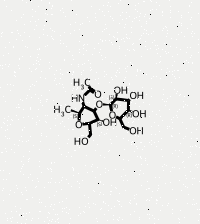 CC(=O)NC1C(O[C@@H]2OC(CO)[C@H](O)C(O)[C@@H]2O)[C@H](O)C(CO)O[C@H]1C